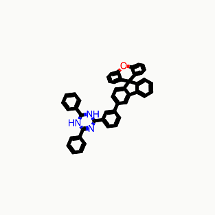 c1ccc(C2=NC(c3cccc(-c4ccc5c(c4)-c4ccccc4C54c5ccccc5Oc5ccccc54)c3)NC(c3ccccc3)N2)cc1